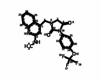 CNc1cc(CN2CC(=O)N(c3ccc(OC(F)(F)F)cc3)C2=O)c2ccccc2n1